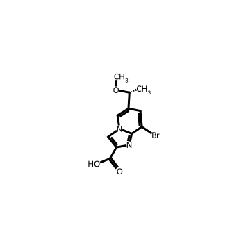 CO[C@H](C)c1cc(Br)c2nc(C(=O)O)cn2c1